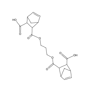 O=C(O)C1C2C=CC(C2)C1C(=O)OCCCOC(=O)C1C2C=CC(C2)C1C(=O)O